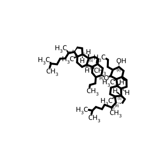 CCCC1C(O[C@@H]2CC3=CC[C@H]4[C@@H]5CC[C@H]([C@H](C)CCCC(C)C)[C@@]5(C)CC[C@@H]4[C@@]3(C)CC2CCC)[C@@]2(C)C(=CC[C@H]3[C@@H]4CC[C@H]([C@H](C)CCCC(C)C)[C@@]4(C)CC[C@@H]32)C[C@H]1O